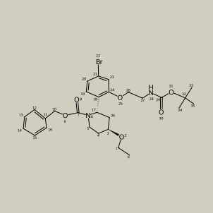 CCO[C@H]1CCN(C(=O)OCc2ccccc2)[C@H](c2ccc(Br)cc2OCCNC(=O)OC(C)(C)C)C1